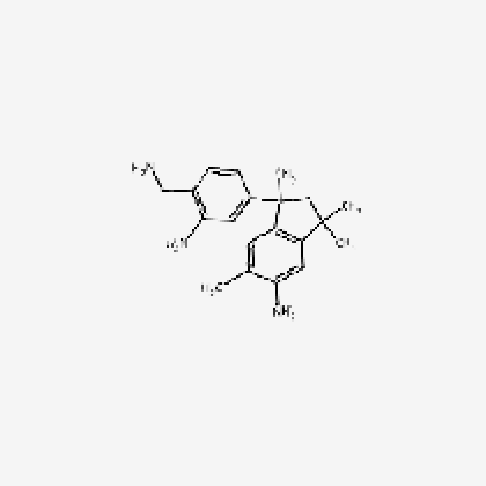 Cc1cc2c(cc1N)C(C)(C)CC2(C)c1ccc(CN)c(N)c1